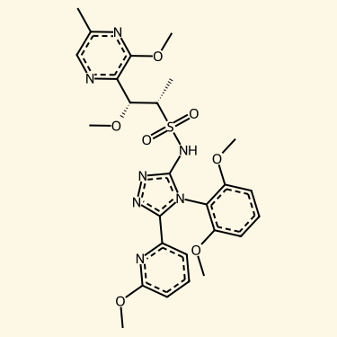 COc1cccc(-c2nnc(NS(=O)(=O)[C@@H](C)[C@H](OC)c3ncc(C)nc3OC)n2-c2c(OC)cccc2OC)n1